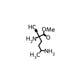 C#CC(N)(CCC(C)N)C(=O)OC